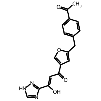 CC(=O)c1ccc(Cc2cc(C(=O)C=C(O)c3nc[nH]n3)co2)cc1